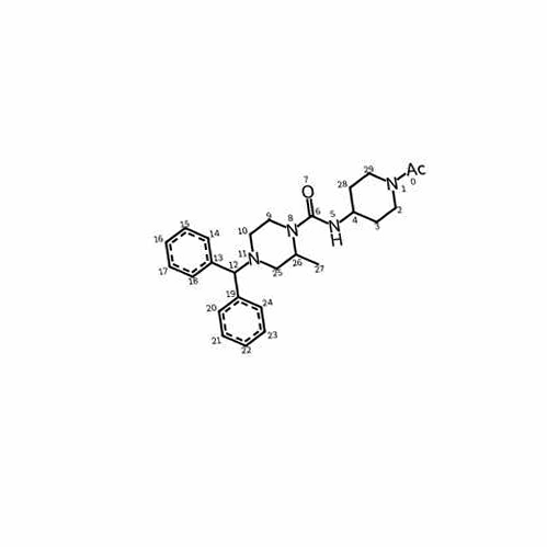 CC(=O)N1CCC(NC(=O)N2CCN(C(c3ccccc3)c3ccccc3)CC2C)CC1